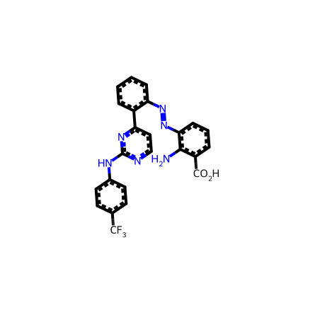 Nc1c(/N=N/c2ccccc2-c2ccnc(Nc3ccc(C(F)(F)F)cc3)n2)cccc1C(=O)O